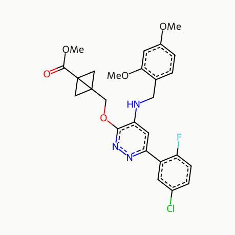 COC(=O)C12CC1(COc1nnc(-c3cc(Cl)ccc3F)cc1NCc1ccc(OC)cc1OC)C2